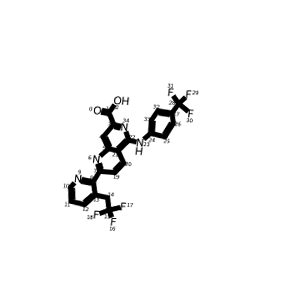 O=C(O)c1cc2nc(-c3ncccc3CC(F)(F)F)ccc2c(Nc2ccc(C(F)(F)F)cc2)n1